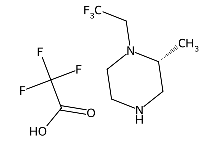 C[C@@H]1CNCCN1CC(F)(F)F.O=C(O)C(F)(F)F